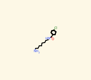 NCCCCCCCCNC(=O)c1ccc(Cl)cc1